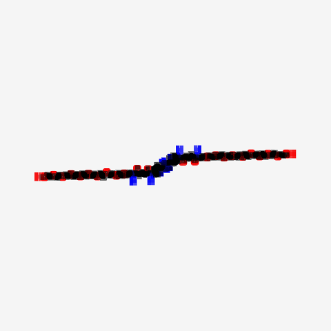 O=C(CCCC(=O)Nc1ccc(-c2nnc(-c3ccc(NC(=O)CCCC(=O)NCCOCCOCCOCCOCCOCCOCCOCCOCCOCCO)cn3)nn2)nc1)NCCOCCOCCOCCOCCOCCOCCOCCOCCOCCO